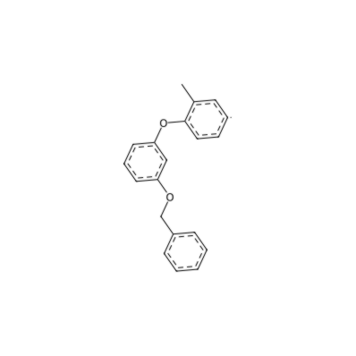 Cc1c[c]ccc1Oc1cccc(OCc2ccccc2)c1